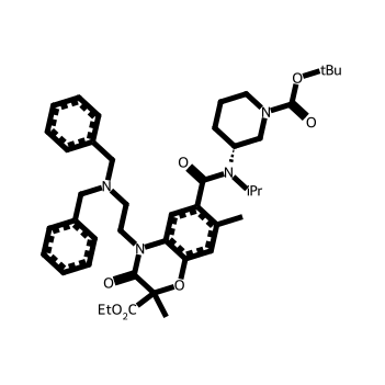 CCOC(=O)C1(C)Oc2cc(C)c(C(=O)N(C(C)C)[C@@H]3CCCN(C(=O)OC(C)(C)C)C3)cc2N(CCN(Cc2ccccc2)Cc2ccccc2)C1=O